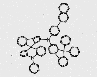 c1ccc(N2c3ccccc3C3(c4ccccc4-c4ccc(N(c5ccc(-c6ccc7ccccc7c6)cc5)c5ccc6c(c5)C(c5ccccc5)(c5ccccc5)c5ccccc5-6)cc43)c3ccccc32)cc1